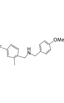 COc1ccc(CNCc2ccc(F)cc2C)cc1